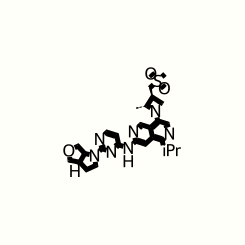 CC(C)c1ncc(N2C[C@H](CS(C)(=O)=O)[C@H]2C)c2cnc(Nc3ccnc(N4CC[C@H]5COCC54)n3)cc12